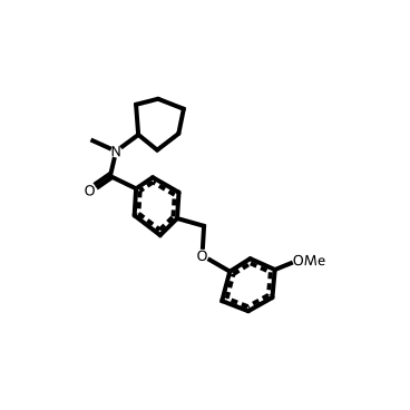 COc1cccc(OCc2ccc(C(=O)N(C)C3CCCCC3)cc2)c1